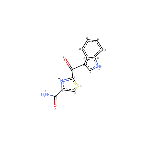 NC(=O)c1csc(C(=O)c2c[nH]c3ccccc23)n1